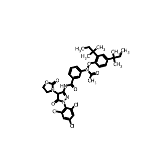 CCC(C)(C)c1ccc(ON(C(C)=O)c2cccc(C(=O)NC3=NN(c4c(Cl)cc(Cl)cc4Cl)C(=O)C3N3CCOC3=O)c2)c(C(C)(C)CC)c1